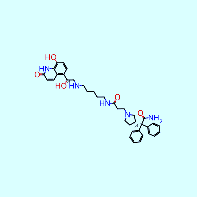 NC(=O)C(c1ccccc1)(c1ccccc1)[C@@H]1CCN(CCC(=O)NCCCCCNC[C@@H](O)c2ccc(O)c3[nH]c(=O)ccc23)C1